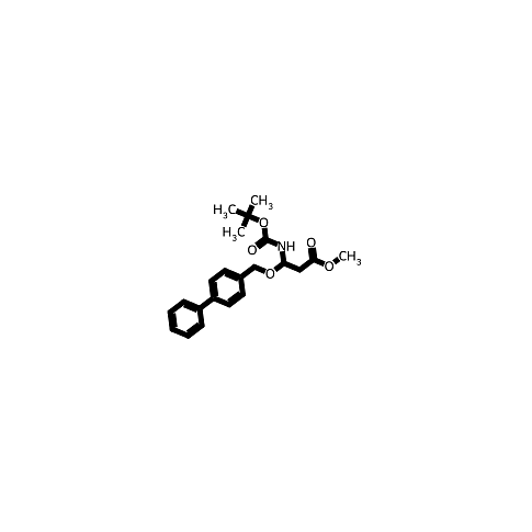 COC(=O)CC(NC(=O)OC(C)(C)C)OCc1ccc(-c2ccccc2)cc1